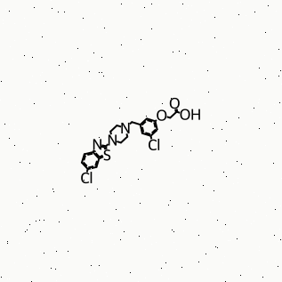 O=C(O)COc1cc(Cl)cc(CN2CCN(c3nc4ccc(Cl)cc4s3)CC2)c1